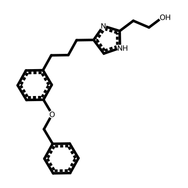 OCCc1nc(CCCc2cccc(OCc3ccccc3)c2)c[nH]1